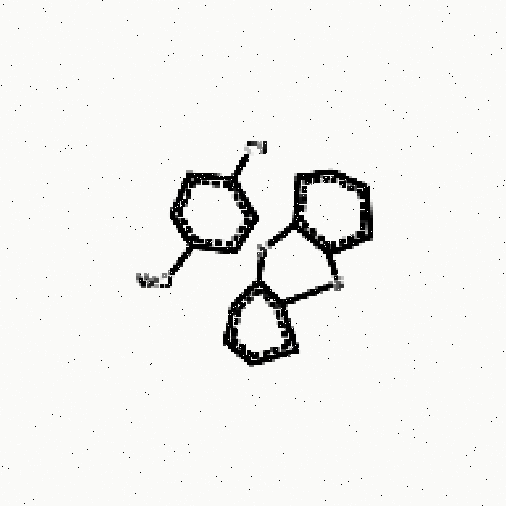 COc1ccc(C#N)cc1.c1ccc2c(c1)Sc1ccccc1S2